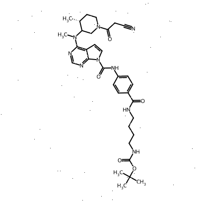 C[C@@H]1CCN(C(=O)CC#N)CC1N(C)c1ncnc2c1ccn2C(=O)Nc1ccc(C(=O)NCCCCNC(=O)OC(C)(C)C)cc1